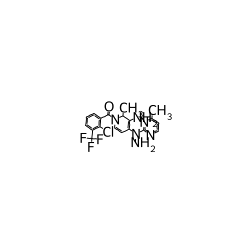 Cc1ccnc(N(N)C2=C(N)C(C)N(C(=O)c3cccc(C(F)(F)F)c3Cl)C=C2)n1